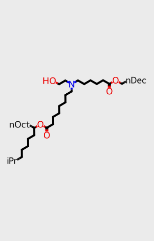 CCCCCCCCCCCOC(=O)CCCCCN(CCO)CCCCCCCC(=O)OC(CCCCCCCC)CCCCCC(C)C